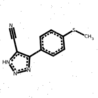 CSc1ccc(-c2nn[nH]c2C#N)cc1